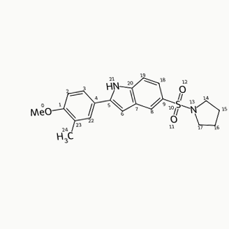 COc1ccc(-c2cc3cc(S(=O)(=O)N4CCCC4)ccc3[nH]2)cc1C